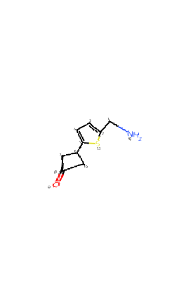 NCc1ccc(C2CC(=O)C2)s1